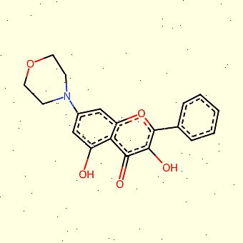 O=c1c(O)c(-c2ccccc2)oc2cc(N3CCOCC3)cc(O)c12